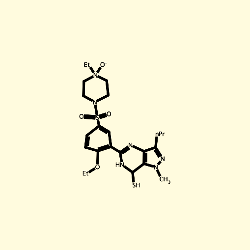 CCCc1nn(C)c2c1N=C(c1cc(S(=O)(=O)N3CC[N+]([O-])(CC)CC3)ccc1OCC)NC2S